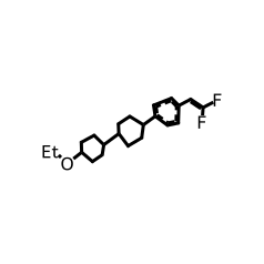 CCOC1CCC(C2CCC(c3ccc(C=C(F)F)cc3)CC2)CC1